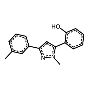 Cc1cccc(-c2cc(-c3ccccc3O)n(C)n2)c1